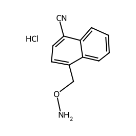 Cl.N#Cc1ccc(CON)c2ccccc12